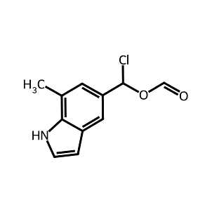 Cc1cc(C(Cl)OC=O)cc2cc[nH]c12